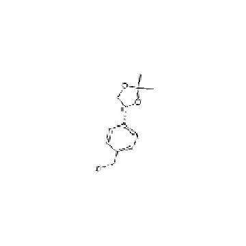 CC1(C)OC[C@@H](c2ccc(CCl)cc2)O1